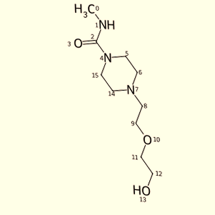 CNC(=O)N1CCN(CCOCCO)CC1